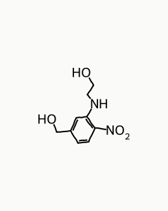 O=[N+]([O-])c1ccc(CO)cc1NCCO